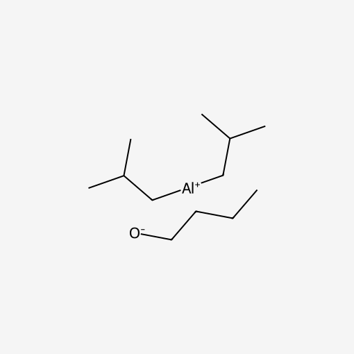 CC(C)[CH2][Al+][CH2]C(C)C.CCCC[O-]